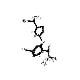 CC(C)c1ccc(Sc2cc(F)ccc2C(=O)N(C)C)cc1